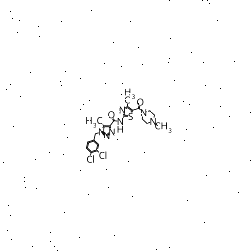 Cc1nc(NC(=O)c2nnn(Cc3ccc(Cl)c(Cl)c3)c2C)sc1C(=O)N1CCN(C)CC1